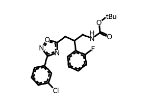 CC(C)(C)OC(=O)NCC(Cc1nc(-c2cccc(Cl)c2)no1)c1ccccc1F